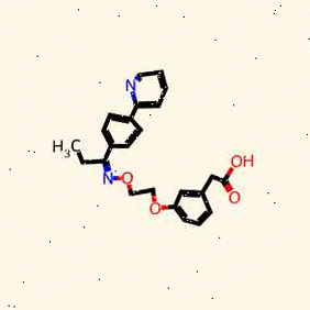 CCC(=NOCCOc1cccc(CC(=O)O)c1)c1ccc(-c2ccccn2)cc1